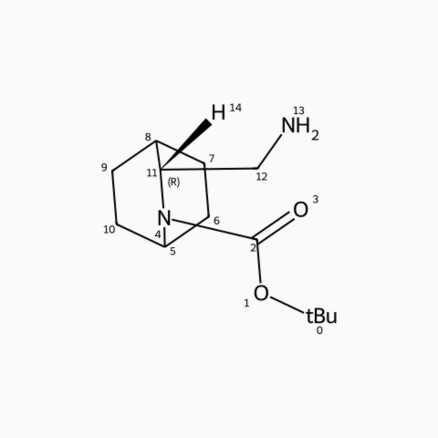 CC(C)(C)OC(=O)N1C2CCC(CC2)[C@@H]1CN